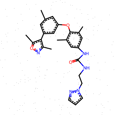 Cc1cc(Oc2c(C)cc(NC(=O)NCCn3cccn3)cc2C)cc(-c2c(C)noc2C)c1